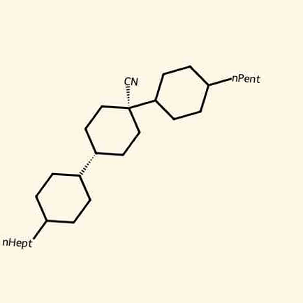 CCCCCCCC1CCC([C@H]2CC[C@](C#N)(C3CCC(CCCCC)CC3)CC2)CC1